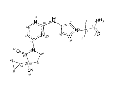 CC(C)(C(N)=O)n1cc(Nc2nccc(N3CC[C@@](C#N)(C4CC4)C3=O)n2)cn1